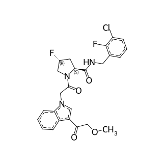 COCC(=O)c1cn(CC(=O)N2C[C@H](F)C[C@H]2C(=O)NCc2cccc(Cl)c2F)c2ccccc12